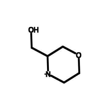 OCC1COCC[N]1